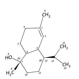 CC1=CC2C(CC1)[C@@](C)(O)CC[C@@H]2C(C)C